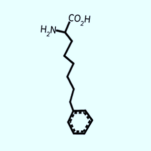 NC(CCCCCCc1ccccc1)C(=O)O